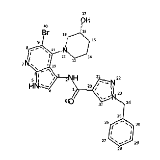 O=C(Nc1c[nH]c2ncc(Br)c(N3CCC[C@@H](O)C3)c12)c1cnn(Cc2ccccc2)c1